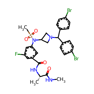 CNC(=O)[C@H](C)NC(=O)c1cc(F)cc(N(C2CN(C(c3ccc(Br)cc3)c3ccc(Br)cc3)C2)S(C)(=O)=O)c1